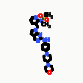 CN(c1ncccc1Cn1ccc2cnc(Nc3ccc(N4CCC(N5CCOCC5)CC4)cc3)nc21)S(C)(=O)=O